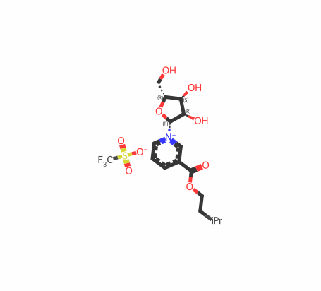 CC(C)CCOC(=O)c1ccc[n+]([C@@H]2O[C@H](CO)[C@@H](O)[C@H]2O)c1.O=S(=O)([O-])C(F)(F)F